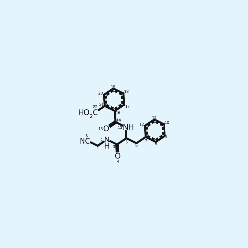 N#CCNC(=O)C(Cc1ccccc1)NC(=O)c1ccccc1C(=O)O